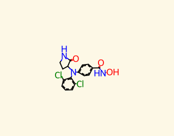 O=C(NO)c1ccc(N(c2c(Cl)cccc2Cl)C2CCNC2=O)cc1